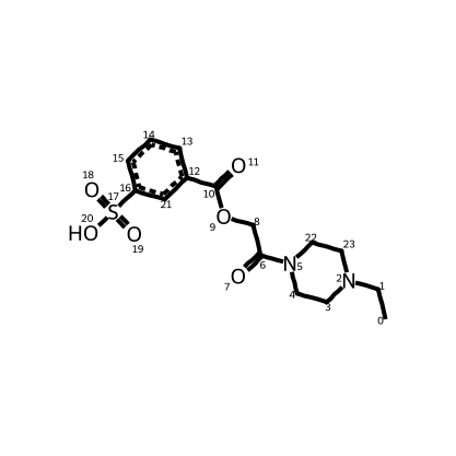 CCN1CCN(C(=O)COC(=O)c2cccc(S(=O)(=O)O)c2)CC1